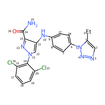 CCc1cnnn1-c1ccc(Nc2cn(-c3c(Cl)cccc3Cl)nc2C(N)=O)cc1